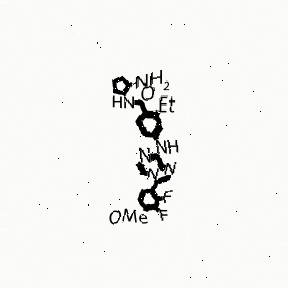 CCc1cc(Nc2nccn3c(-c4ccc(OC)c(F)c4F)cnc23)ccc1C(=O)N[C@@H]1CCC[C@@H]1N